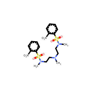 CN(CCN(C)S(=O)(=O)c1ccccc1[N+](=O)[O-])CCN(C)S(=O)(=O)c1ccccc1[N+](=O)[O-]